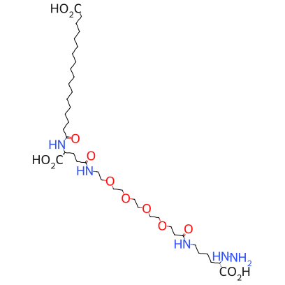 NN[C@@H](CCCCNC(=O)CCOCCOCCOCCOCCNC(=O)CC[C@H](NC(=O)CCCCCCCCCCCCCCCCC(=O)O)C(=O)O)C(=O)O